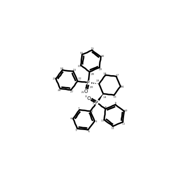 O=P(c1ccccc1)(c1ccccc1)[C@@H]1CCCC[C@H]1P(=O)(c1ccccc1)c1ccccc1